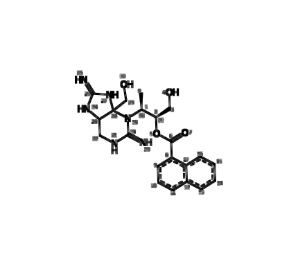 C[C@@H]([C@@H](CO)OC(=O)c1cccc2ccccc12)N1C(=N)NCC2NC(=N)NC21CO